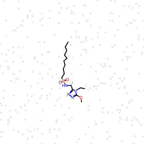 CCCCCCCCCCS(=O)(=O)N[C@H](C)c1nnc(OC)n1CC